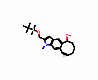 Cn1c(CO[Si](C)(C)C(C)(C)C)cc2cc3c(cc21)/C=C\CCCC3O